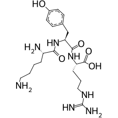 N=C(N)NCCC[C@H](NC(=O)[C@H](Cc1ccc(O)cc1)NC(=O)[C@@H](N)CCCCN)C(=O)O